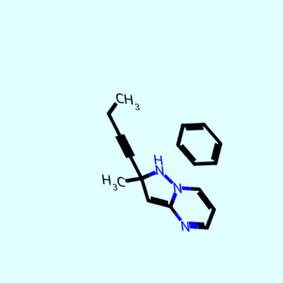 CCC#CC1(C)C=C2N=CC=CN2N1.c1ccccc1